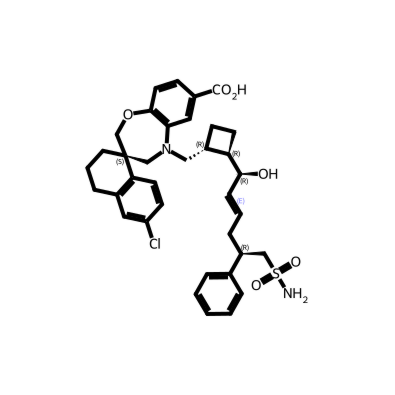 NS(=O)(=O)C[C@H](C/C=C/[C@H](O)[C@@H]1CC[C@H]1CN1C[C@@]2(CCCc3cc(Cl)ccc32)COc2ccc(C(=O)O)cc21)c1ccccc1